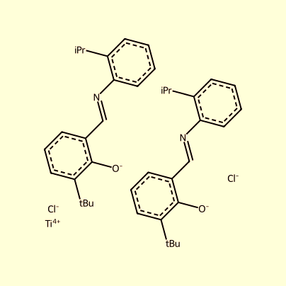 CC(C)c1ccccc1/N=C/c1cccc(C(C)(C)C)c1[O-].CC(C)c1ccccc1/N=C/c1cccc(C(C)(C)C)c1[O-].[Cl-].[Cl-].[Ti+4]